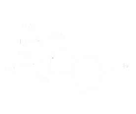 CC(C)(C)[Si]1(C(C)(C)C)Oc2ccc(Br)cc2O1